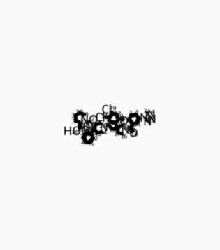 COc1ccc(-n2cnnn2)cc1C(=O)N1CCC(CCN2CCC(NC(=O)N3CCCCC3C(=O)O)(c3ccccc3)CC2)(c2ccc(Cl)c(Cl)c2)C1